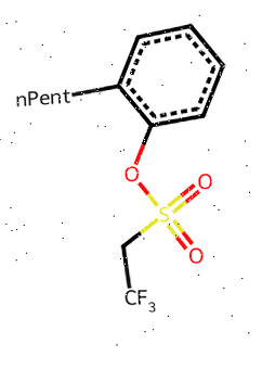 CCCCCc1ccccc1OS(=O)(=O)CC(F)(F)F